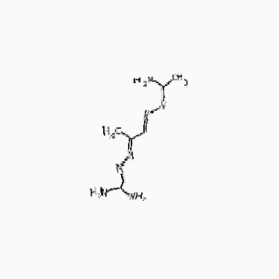 C/C(N)=N/N=C/C(C)=N/N=C(N)N